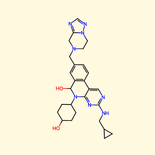 OC1CCC(N2c3nc(NCC4CC4)ncc3-c3ccc(CN4CCn5ncnc5C4)cc3C2O)CC1